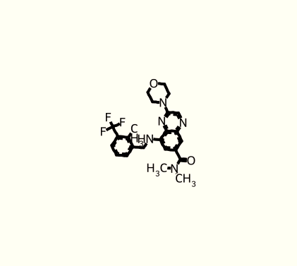 Cc1c(CNc2cc(C(=O)N(C)C)cc3ncc(N4CCOCC4)nc23)cccc1C(F)(F)F